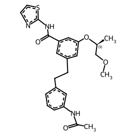 COC[C@H](C)Oc1cc(CCc2cccc(NC(C)=O)c2)cc(C(=O)Nc2nccs2)c1